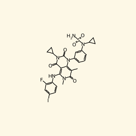 Cc1c(=O)n(C)c(Nc2ccc(I)cc2F)c2c(=O)n(C3CC3)c(=O)n(-c3cccc(N(C4CC4)S(N)(=O)=O)c3)c12